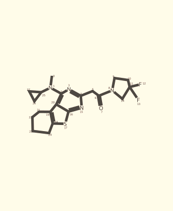 CN(c1nc(CC(=O)N2CCC(F)(F)C2)nc2sc3c(c12)CCCC3)C1CC1